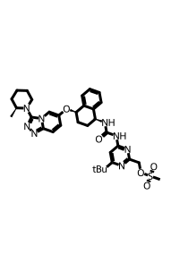 C[C@H]1CCCCN1c1nnc2ccc(O[C@@H]3CC[C@H](NC(=O)Nc4cc(C(C)(C)C)nc(COS(C)(=O)=O)n4)c4ccccc43)cn12